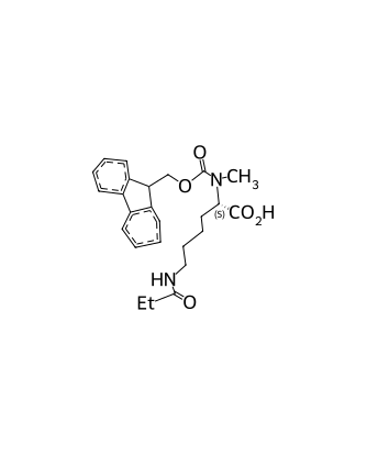 CCC(=O)NCCCC[C@@H](C(=O)O)N(C)C(=O)OCC1c2ccccc2-c2ccccc21